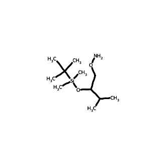 CC(C)C(CON)O[Si](C)(C)C(C)(C)C